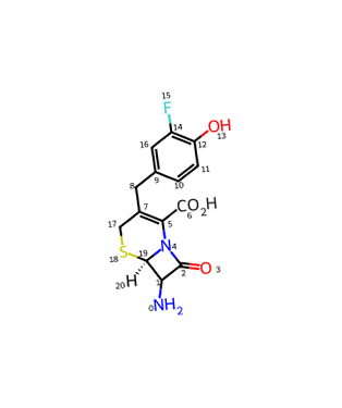 NC1C(=O)N2C(C(=O)O)=C(Cc3ccc(O)c(F)c3)CS[C@H]12